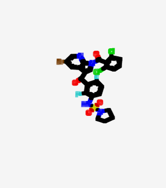 O=C(c1c(F)ccc(NS(=O)(=O)N2CCCC2)c1F)c1cn(C(=O)c2c(Cl)cccc2Cl)c2ncc(Br)cc12